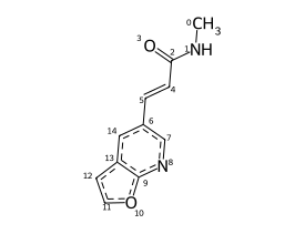 CNC(=O)C=Cc1cnc2occc2c1